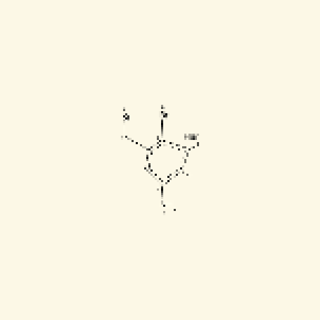 Br.Nc1cc(CBr)c(Br)cn1